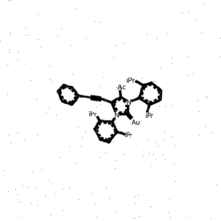 CC(=O)c1c(C#Cc2ccccc2)n(-c2c(C(C)C)cccc2C(C)C)[c](=[Au])n1-c1c(C(C)C)cccc1C(C)C